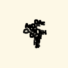 CC(=O)O[C@@H](C)[C@H](OC(C)=O)C1CNc2nc(/N=C/N(C)C)[nH]c(=O)c2N1C(=O)CC1CCCC1